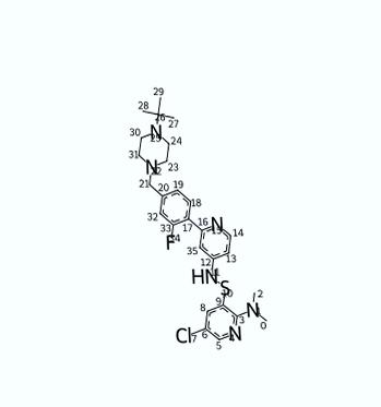 CN(C)c1ncc(Cl)cc1SNc1ccnc(-c2ccc(CN3CCN(C(C)(C)C)CC3)cc2F)c1